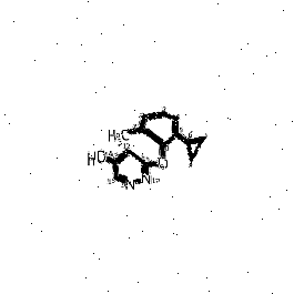 Cc1cccc(C2CC2)c1Oc1cc(O)cnn1